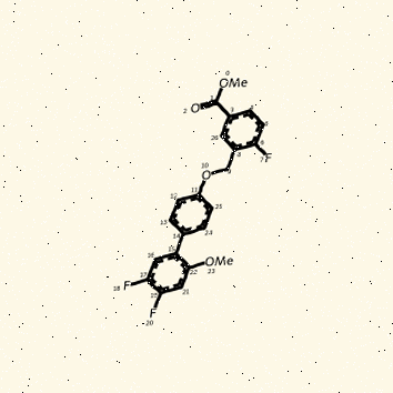 COC(=O)c1ccc(F)c(COc2ccc(-c3cc(F)c(F)cc3OC)cc2)c1